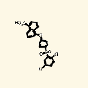 O=S(=O)(O)c1cccc2c(Oc3ccc(S(=O)(=O)c4cc(Cl)ccc4Cl)cc3)cccc12